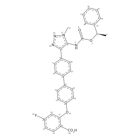 C[C@@H](OC(=O)Nc1c(-c2ccc(-c3ccc(Oc4cc(F)ccc4C(=O)O)cc3)cc2)nnn1C)c1ccccc1